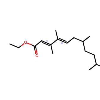 CCOC(=O)/C=C(C)/C(C)=C/CC(C)CCC(C)C